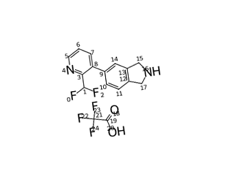 FC(F)c1ncccc1-c1ccc2c(c1)CNC2.O=C(O)C(F)(F)F